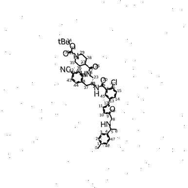 Cc1ccc(C(C)NCc2ccc(-c3ccc(Cl)c(C(=O)N[C@@H](CNC(=O)C4CCN(C(=O)OC(C)(C)C)CC4)Cc4ccc(C#N)cc4)c3)o2)cc1